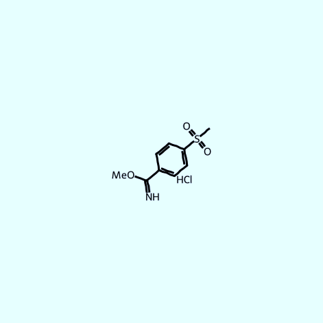 COC(=N)c1ccc(S(C)(=O)=O)cc1.Cl